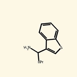 CCCC(N)c1csc2ccccc12